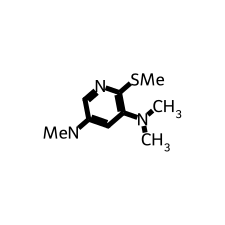 CNc1cnc(SC)c(N(C)C)c1